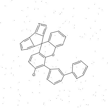 Clc1ccc2c(c1-c1cccc(-c3ccccc3)c1)Oc1ccccc1C21c2ccccc2-c2ccccc21